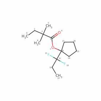 CCC(C)(C)C(=O)OC1(C(F)(F)CC)CCCC1